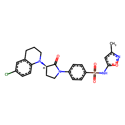 Cc1cc(NS(=O)(=O)c2ccc(N3CC[C@@H](N4CCCc5cc(Cl)ccc54)C3=O)cc2)on1